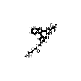 CNCCOC(=O)OCn1cnc(-c2c(-c3nc(C(F)(F)F)n[nH]3)nc3ncccn23)c1